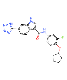 O=C(Nc1ccc(OC2CCCC2)c(F)c1)c1c[nH]c2cc(-c3nnn[nH]3)ccc12